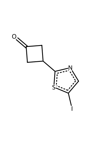 O=C1CC(c2ncc(I)s2)C1